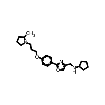 CC1CCCN1CCCOc1ccc(-c2nc(CNC3CCCC3)co2)cc1